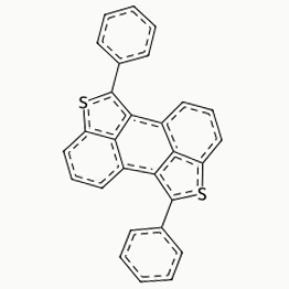 c1ccc(-c2sc3cccc4c5c(-c6ccccc6)sc6cccc(c2c34)c65)cc1